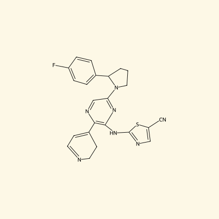 N#Cc1cnc(Nc2nc(N3CCCC3c3ccc(F)cc3)cnc2C2=CC=NCC2)s1